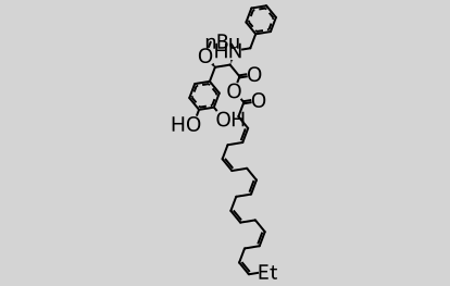 CC/C=C\C/C=C\C/C=C\C/C=C\C/C=C\C/C=C\CC(=O)OC(=O)[C@@H](NCc1ccccc1)[C@H](OCCCC)c1ccc(O)c(O)c1